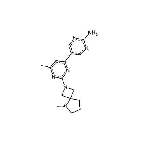 Cc1cc(-c2cnc(N)nc2)nc(N2CC3(CCCN3C)C2)n1